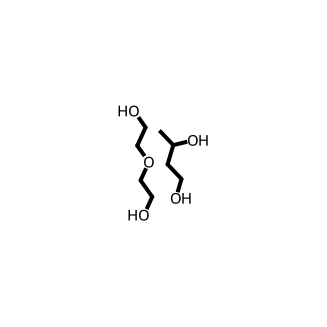 CC(O)CCO.OCCOCCO